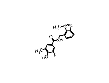 Cc1cc(C(=O)NCc2cccc3ncn(C)c23)cc(F)c1O